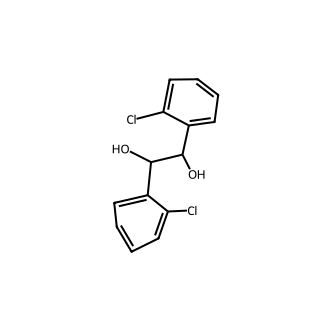 OC(c1ccccc1Cl)C(O)c1ccccc1Cl